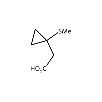 CSC1(CC(=O)O)CC1